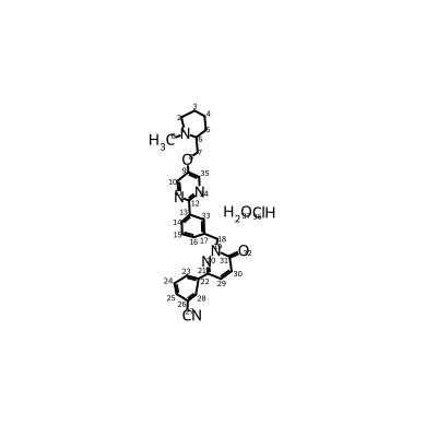 CN1CCCCC1COc1cnc(-c2cccc(Cn3nc(-c4cccc(C#N)c4)ccc3=O)c2)nc1.Cl.O